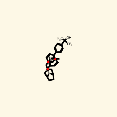 Cc1cc(CN2CC3CCC(C2)N3Cc2ccnnc2)ccc1-c1ccc(C(O)(C(F)(F)F)C(F)(F)F)cc1